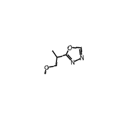 COCC(C)c1nnco1